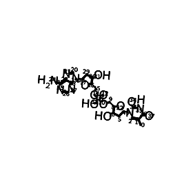 Cc1cn([C@H]2C[C@H](O)[C@@H](COP(=O)(O)OC[C@H]3O[C@@H](n4cnc5c(N)ncnc54)C[C@@H]3O)O2)c(=O)[nH]c1=O